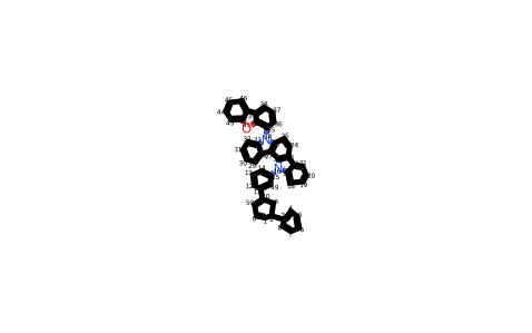 C1=CC(c2ccccc2)CC(c2cccc(-n3c4ccccc4c4ccc5c(c6ccccc6n5-c5cccc6c5oc5ccccc56)c43)c2)=C1